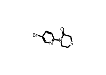 O=C1CSCCN1c1ccc(Br)cn1